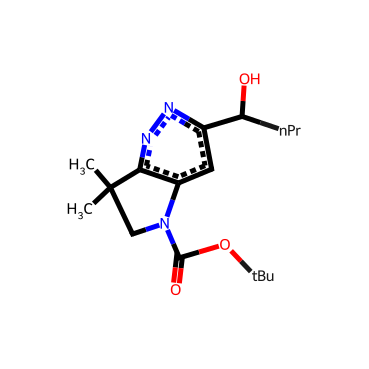 CCCC(O)c1cc2c(nn1)C(C)(C)CN2C(=O)OC(C)(C)C